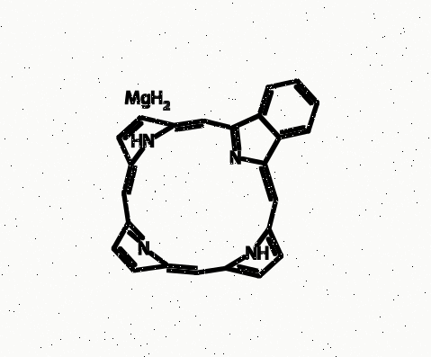 C1=Cc2cc3ccc(cc4nc(cc5ccc(cc1n2)[nH]5)-c1ccccc1-4)[nH]3.[MgH2]